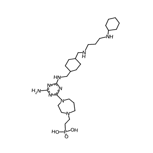 Nc1nc(NCC2CCC(CNCCCNC3CCCCC3)CC2)nc(N2CCCN(CCP(=O)(O)O)CC2)n1